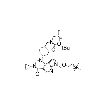 CC(C)(C)OC(=O)N(CC(F)F)C[C@H]1CC[C@H](N2CN(C3CC3)C(=O)c3cnc4c(ccn4COCC[Si](C)(C)C)c32)CC1